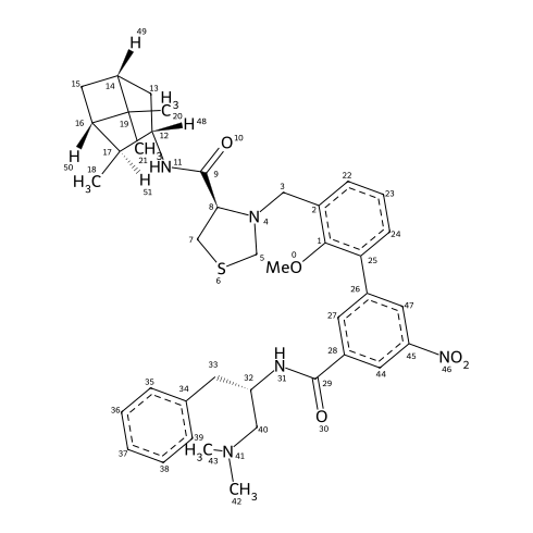 COc1c(CN2CSC[C@H]2C(=O)N[C@H]2C[C@H]3C[C@@H]([C@@H]2C)C3(C)C)cccc1-c1cc(C(=O)N[C@@H](Cc2ccccc2)CN(C)C)cc([N+](=O)[O-])c1